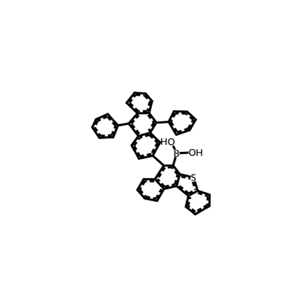 OB(O)c1c(-c2ccc3c(-c4ccccc4)c4ccccc4c(-c4ccccc4)c3c2)c2ccccc2c2c1sc1ccccc12